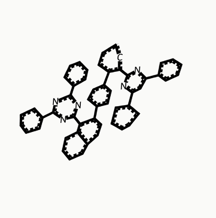 c1ccc(-c2cc(-c3ccccc3)nc(-c3ccccc3-c3ccc(-c4ccc5ccccc5c4-c4nc(-c5ccccc5)nc(-c5ccccc5)n4)cc3)n2)cc1